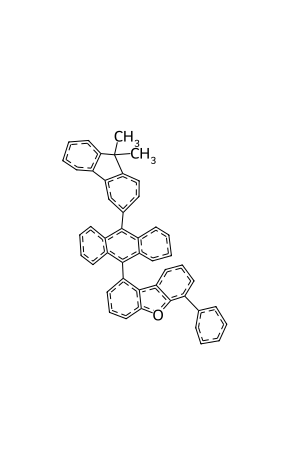 CC1(C)c2ccccc2-c2cc(-c3c4ccccc4c(-c4cccc5oc6c(-c7ccccc7)cccc6c45)c4ccccc34)ccc21